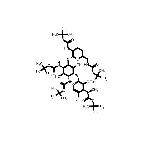 CC1=CO[C@H](O[C@@H]2C(O)C(O[C@H]3OC(CNC(=O)OC(C)(C)C)CCC3NC(=O)OC(C)(C)C)[C@H](NC(=O)OC(C)(C)C)C(O)[C@H]2NC(=O)OC(C)(C)C)C(O)[C@H]1N(C)C(=O)OC(C)(C)C